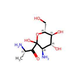 C[C@H](N)C(=O)C1(O)O[C@H](CO)[C@@H](O)[C@H](O)[C@H]1N